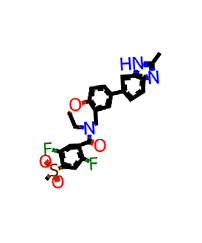 Cc1nc2ccc(-c3ccc4c(c3)CN(C(=O)c3cc(F)c(S(C)(=O)=O)cc3F)CCO4)cc2[nH]1